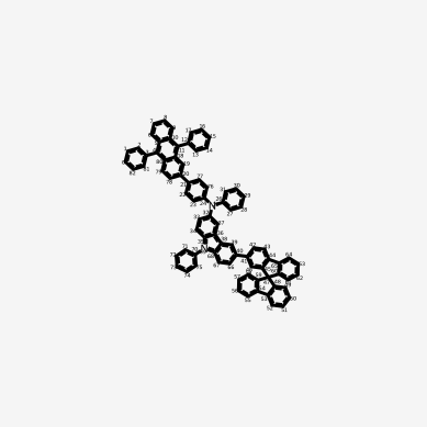 c1ccc(-c2c3ccccc3c(-c3ccccc3)c3cc(-c4ccc(N(c5ccccc5)c5ccc6c(c5)c5cc(-c7ccc8c(c7)C7(c9ccccc9-c9ccccc97)c7ccccc7-8)ccc5n6-c5ccccc5)cc4)ccc23)cc1